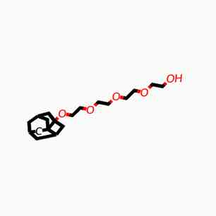 OCCOCCOCCOCCOC12CC3CC4CC(C1)C2(C4)C3